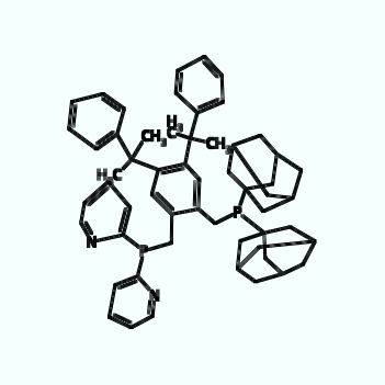 CC(C)(c1ccccc1)c1cc(CP(c2ccccn2)c2ccccn2)c(CP(C23CC4CC(CC(C4)C2)C3)C23CC4CC(CC(C4)C2)C3)cc1C(C)(C)c1ccccc1